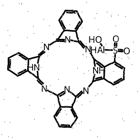 O=[S](=O)([AlH][OH])c1cccc2c3nc4nc(nc5[nH]c(nc6nc(nc([nH]3)c12)-c1ccccc1-6)c1ccccc51)-c1ccccc1-4